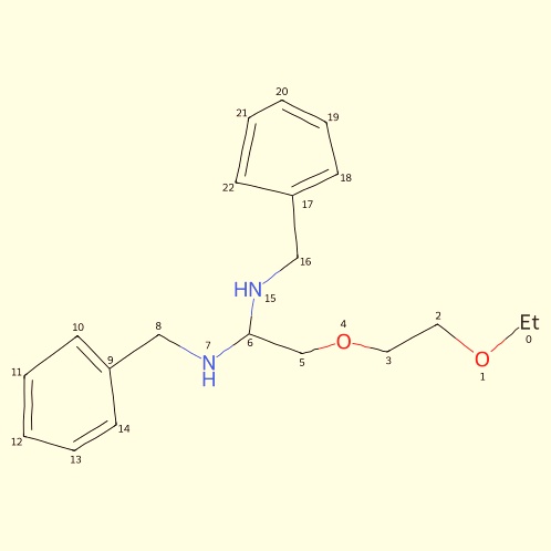 CCOCCOCC(NCc1ccccc1)NCc1ccccc1